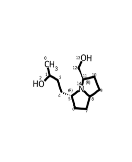 CC(O)CC[C@H]1CCC2CC[C@H](CO)N21